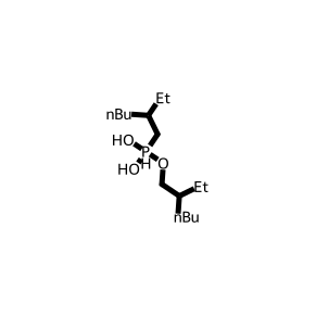 CCCCC(CC)CO[PH](O)(O)CC(CC)CCCC